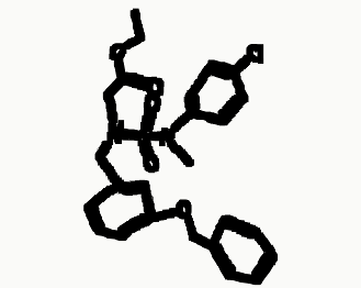 CCOC(=O)CN(Cc1cccc(OCc2ccccc2)c1)S(=O)(=O)N(C)c1ccc(Cl)cc1